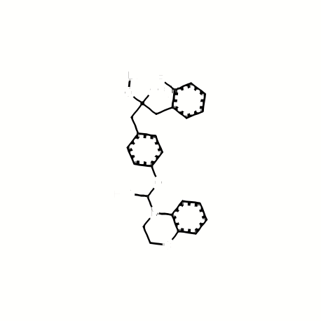 CCOC(Cc1ccc(OC(C)N2CCOc3ccccc32)cc1)(Cc1ccccc1F)C(=O)O